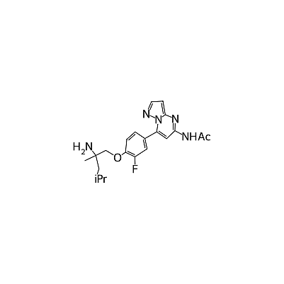 CC(=O)Nc1cc(-c2ccc(OCC(C)(N)CC(C)C)c(F)c2)n2nccc2n1